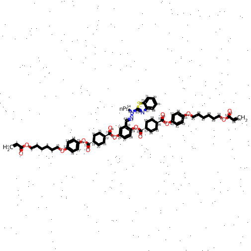 C=CC(=O)OCCCCCCOc1ccc(OC(=O)[C@H]2CC[C@H](C(=O)Oc3ccc(OC(=O)[C@H]4CC[C@H](C(=O)Oc5ccc(OCCCCCCOC(=O)C=C)cc5)CC4)c(/C=N/N(CCC)c4nc5ccccc5s4)c3)CC2)cc1